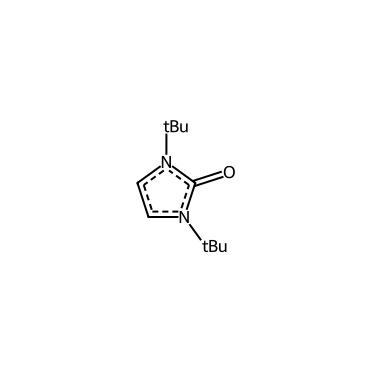 CC(C)(C)n1ccn(C(C)(C)C)c1=O